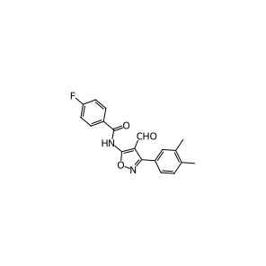 Cc1ccc(-c2noc(NC(=O)c3ccc(F)cc3)c2C=O)cc1C